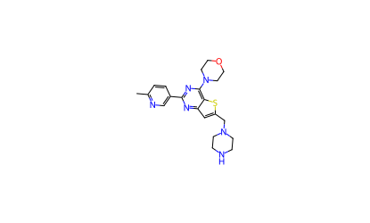 Cc1ccc(-c2nc(N3CCOCC3)c3sc(CN4CCNCC4)cc3n2)cn1